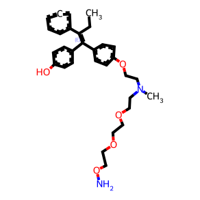 CC/C(=C(/c1ccc(O)cc1)c1ccc(OCCN(C)CCOCCOCCON)cc1)c1ccccc1